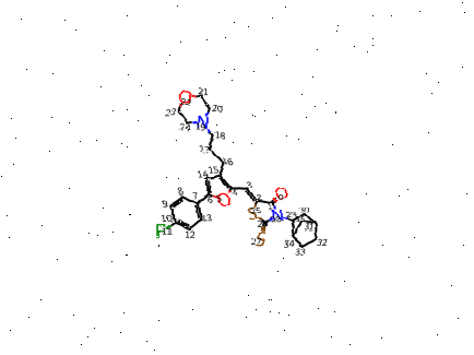 O=C1/C(=C/c2oc(-c3ccc(F)cc3)cc2CCCN2CCOCC2)SC(=S)N1C1CC2CCC1C2